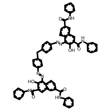 O=C(Nc1ccccc1)c1ccc2c(N=Nc3ccc(Cc4ccc(N=Nc5c(O)c(C(=O)Nc6ccccc6)cc6cc(C(=O)Nc7ccccc7)ccc56)cc4)cc3)c(O)c(C(=O)Nc3ccccc3)cc2c1